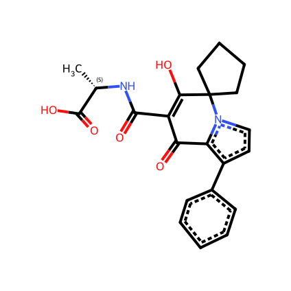 C[C@H](NC(=O)C1=C(O)C2(CCCC2)n2ccc(-c3ccccc3)c2C1=O)C(=O)O